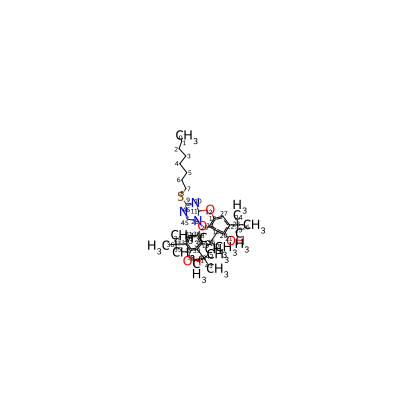 CCCCCCCCSC1=NC(Oc2cc(C(C)(C)C)c(O)c(C(C)(C)C)c2)N(Oc2cc(C(C)(C)C)c(O)c(C(C)(C)C)c2)C=N1